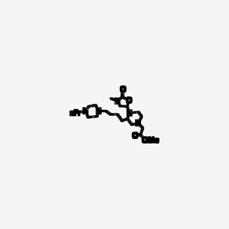 CCCN1CCN(CCCCC2CN(CC(=O)OC)CCN2C2CN(C)C(=O)O2)CC1